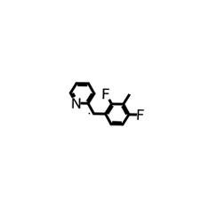 Cc1c(F)ccc([CH]c2ccccn2)c1F